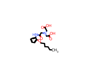 CCCCCCOc1ccccc1NC(=O)CN(CC(=O)O)CC(=O)O